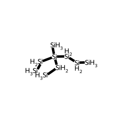 [SiH3][SiH2][SiH2][Si]([SiH3])([SiH2][SiH3])[SiH2][SiH3]